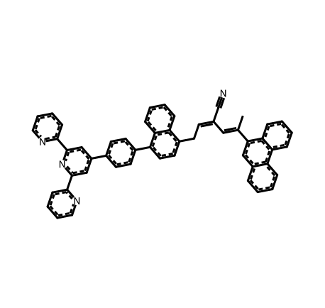 C/C(=C\C(C#N)=C/Cc1ccc(-c2ccc(-c3cc(-c4ccccn4)nc(-c4ccccn4)c3)cc2)c2ccccc12)c1cc2ccccc2c2ccccc12